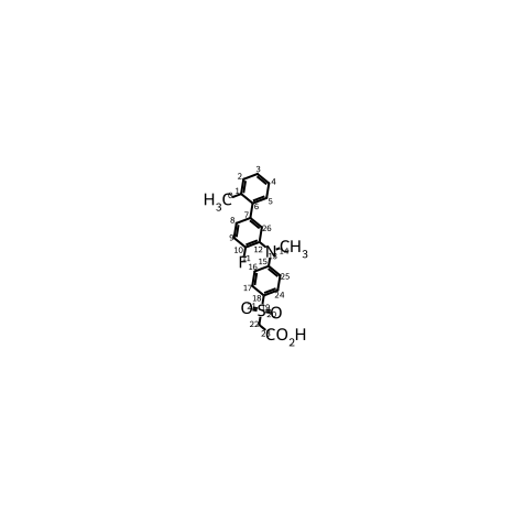 Cc1ccccc1-c1ccc(F)c(N(C)c2ccc(S(=O)(=O)CC(=O)O)cc2)c1